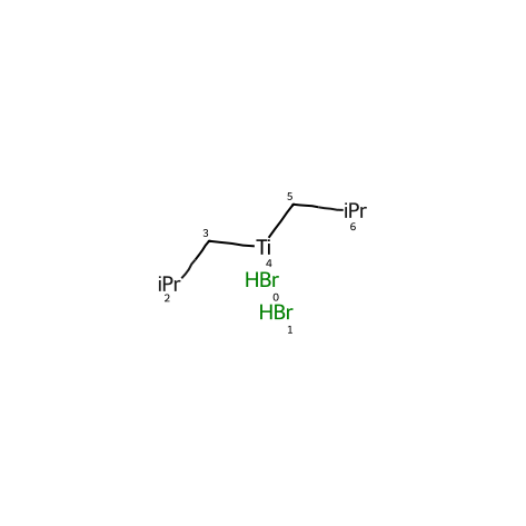 Br.Br.CC(C)[CH2][Ti][CH2]C(C)C